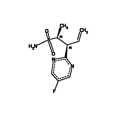 C=C[C@@H](c1ncc(F)cn1)[C@H](C)S(N)(=O)=O